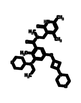 CCN(c1cc(OC2CC(N3CCOCC3)C2)cc(C(=O)N(C)Cc2c(C)cc(C)[nH]c2=O)c1C)C1CCOCC1